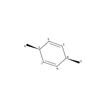 C[C@H]1C=C[C@@H](C)C=C1